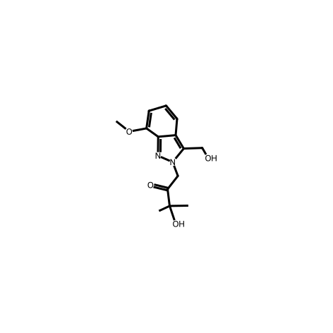 COc1cccc2c(CO)n(CC(=O)C(C)(C)O)nc12